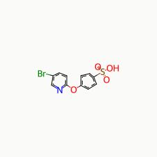 O=S(=O)(O)c1ccc(Oc2ccc(Br)cn2)cc1